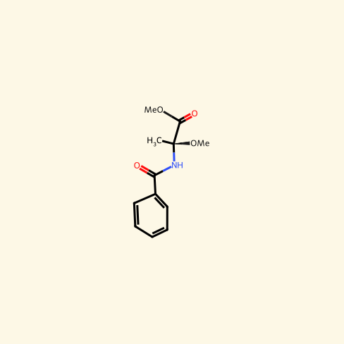 COC(=O)[C@@](C)(NC(=O)c1ccccc1)OC